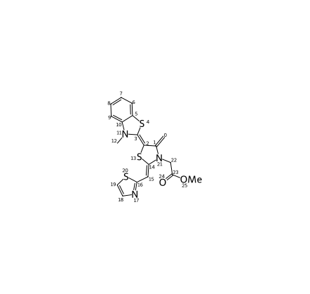 C=C1/C(=C2\Sc3ccccc3N2C)S/C(=C\c2nccs2)N1CC(=O)OC